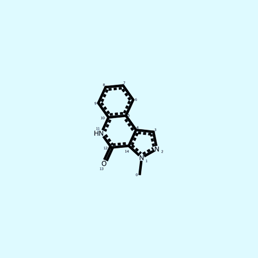 Cn1ncc2c3ccccc3[nH]c(=O)c21